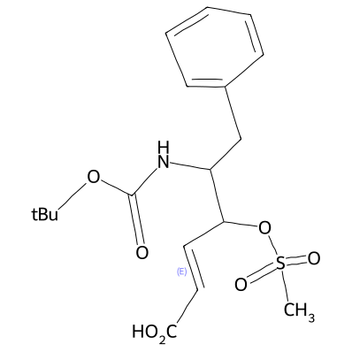 CC(C)(C)OC(=O)NC(Cc1ccccc1)C(/C=C/C(=O)O)OS(C)(=O)=O